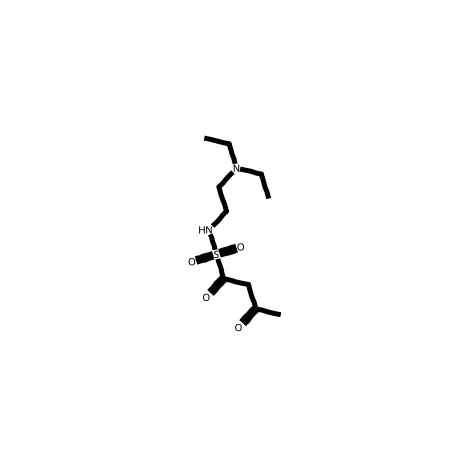 CCN(CC)CCNS(=O)(=O)C(=O)CC(C)=O